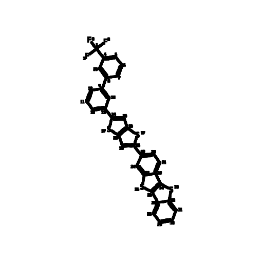 FC(F)(F)c1cccc(-c2cccc(-c3cc4sc(-c5ccc6c(c5)sc5c7ccccc7sc65)cc4s3)c2)c1